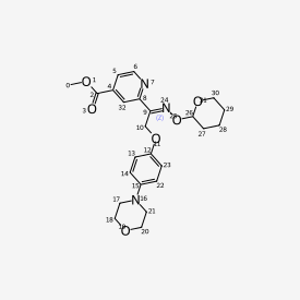 COC(=O)c1ccnc(/C(COc2ccc(N3CCOCC3)cc2)=N/OC2CCCCO2)c1